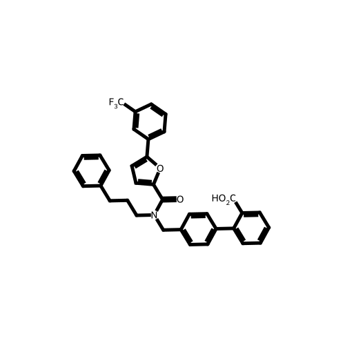 O=C(O)c1ccccc1-c1ccc(CN(CCCc2ccccc2)C(=O)c2ccc(-c3cccc(C(F)(F)F)c3)o2)cc1